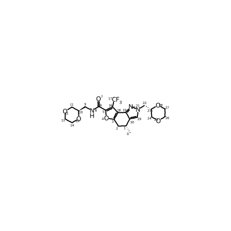 C[C@@H]1Cc2oc(C(=O)NC[C@@H]3COCCO3)c(C(F)(F)F)c2-c2nn(C[C@H]3COCCO3)cc21